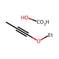 CC#COCC.O=C(O)O